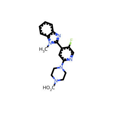 Cn1c(-c2cc(N3CCN(C(=O)O)CC3)ncc2F)nc2ccccc21